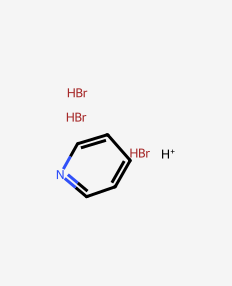 Br.Br.Br.[H+].c1ccncc1